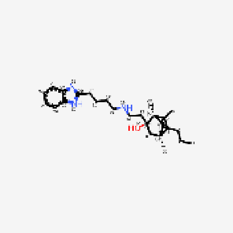 CCCC1=C(C)[C@@H]2CC[C@H]1C[C@]2(O)CCNCCCCc1nc2ccccc2[nH]1